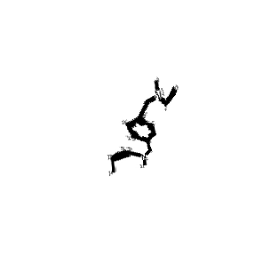 C=CN(C)Cc1ccc(CN(C)/C=C\C)cc1